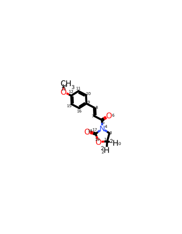 [2H]C1([2H])CN(C(=O)C=Cc2ccc(OC)cc2)C(=O)O1